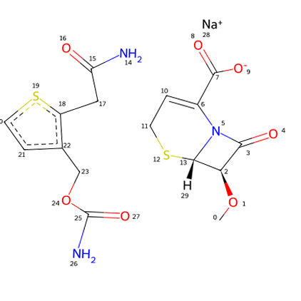 CO[C@@H]1C(=O)N2C(C(=O)[O-])=CCS[C@@H]12.NC(=O)Cc1sccc1COC(N)=O.[Na+]